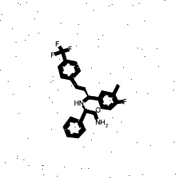 Cc1cc([C@H](CCc2ccc(C(F)(F)F)cc2)N[C@@H](C(N)=O)c2ccccc2)ccc1F